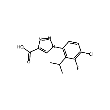 CC(C)c1c(-n2cc(C(=O)O)nn2)ccc(Cl)c1F